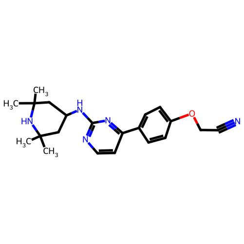 CC1(C)CC(Nc2nccc(-c3ccc(OCC#N)cc3)n2)CC(C)(C)N1